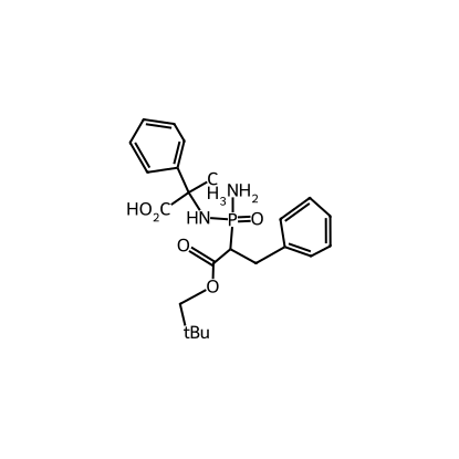 CC(C)(C)COC(=O)C(Cc1ccccc1)P(N)(=O)NC(C)(C(=O)O)c1ccccc1